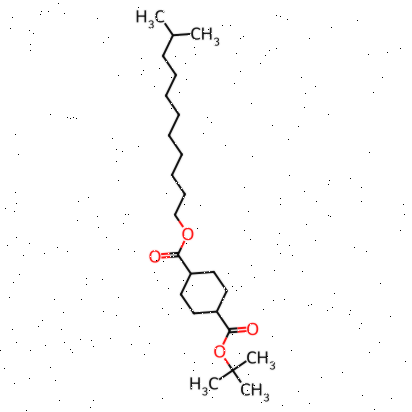 CC(C)CCCCCCCCCOC(=O)C1CCC(C(=O)OC(C)(C)C)CC1